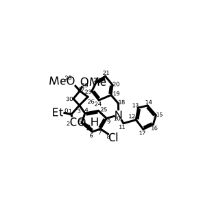 CCC(C(=O)O)C1(c2ccc(Cl)c(N(Cc3ccccc3)Cc3ccccc3)c2)CC(OC)(OC)C1